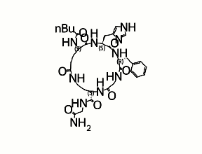 CCCCC(=O)N[C@H]1CCC(=O)NCC[C@@H](C(=O)NCC(N)=O)NC(=O)CNC(=O)[C@@H](Cc2ccccc2)NC(=O)[C@H](Cc2c[nH]cn2)NC1=O